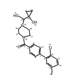 O=C(c1ccc(-c2cc(F)ccc2Cl)cc1)N1CCN(C(O)C2(O)CC2)CC1